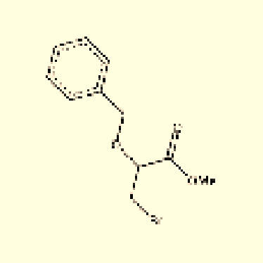 COC(=O)C(CBr)OCc1ccccc1